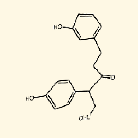 O=CCC(C(=O)CCc1cccc(O)c1)c1ccc(O)cc1